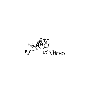 CCC(c1ccc(C(F)(F)F)cc1CN(Cc1cc(C(F)(F)F)cc(C(F)(F)F)c1)c1nnn(C)n1)N1CCN(C=O)CC1